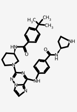 CC(C)(C)c1ccc(C(=O)N[C@@H]2CCCN(c3nc(Nc4ccc(C(=O)N[C@H]5CCNC5)cc4)c4nccn4n3)C2)cc1